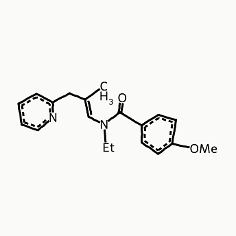 CCN(C=C(C)Cc1ccccn1)C(=O)c1ccc(OC)cc1